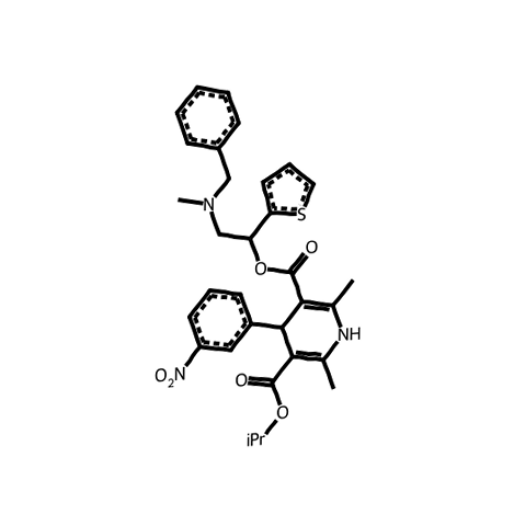 CC1=C(C(=O)OC(C)C)C(c2cccc([N+](=O)[O-])c2)C(C(=O)OC(CN(C)Cc2ccccc2)c2cccs2)=C(C)N1